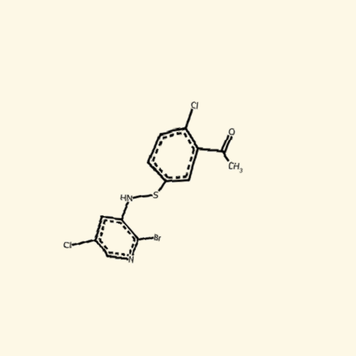 CC(=O)c1cc(SNc2cc(Cl)cnc2Br)ccc1Cl